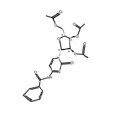 CC(=O)OC[C@H]1O[C@@H](n2ccc(NC(=O)c3ccccc3)nc2=O)[C@H](OC(C)=O)[C@@H]1OC(C)=O